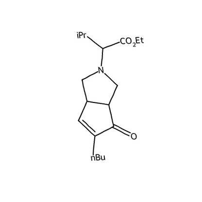 CCCCC1=CC2CN(C(C(=O)OCC)C(C)C)CC2C1=O